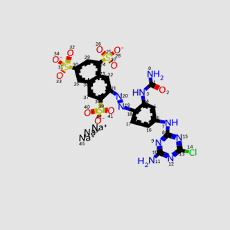 NC(=O)Nc1cc(Nc2nc(N)nc(Cl)n2)ccc1N=Nc1cc2c(S(=O)(=O)[O-])cc(S(=O)(=O)[O-])cc2cc1S(=O)(=O)[O-].[Na+].[Na+].[Na+]